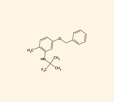 Cc1ccc(OCc2ccccc2)cc1NC(C)(C)C(F)(F)F